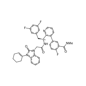 CNC(=O)c1cc(-c2cccnc2[C@H](Cc2cc(F)cc(F)c2)NC(=O)Cn2c(=O)n(C3=CCCCC3)c3ccccc32)ccc1F